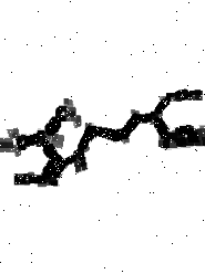 CCCCCCCCN(CCCCCCCC)CCCN/C(=N/C#N)N(C)C